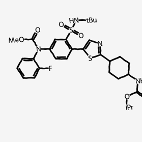 COC(=O)N(c1ccc(-c2cnc(C3CCC(NC(=O)OC(C)C)CC3)s2)c(S(=O)(=O)NC(C)(C)C)c1)c1ccccc1F